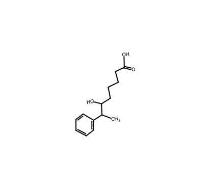 CC(c1ccccc1)C(O)CCCCC(=O)O